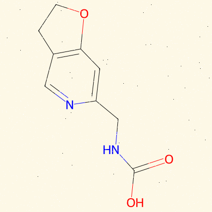 O=C(O)NCc1cc2c(cn1)CCO2